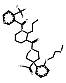 CCCC1C(C(=O)N2CCC(C(=O)O)(c3ccccc3OCCOC)CC2)CCCN1C(=O)c1cnccc1C(F)(F)F